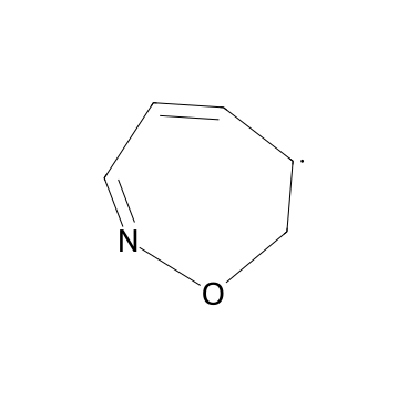 [CH]1C=CC=NOC1